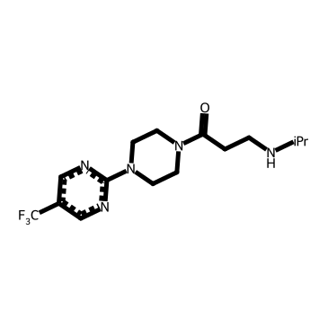 CC(C)NCCC(=O)N1CCN(c2ncc(C(F)(F)F)cn2)CC1